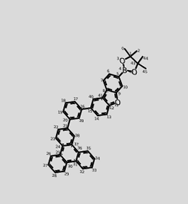 CC1(C)OB(c2ccc3c(c2)oc2ccc(-c4cccc(-c5ccc6c7ccccc7c7ccccc7c6c5)c4)cc23)OC1(C)C